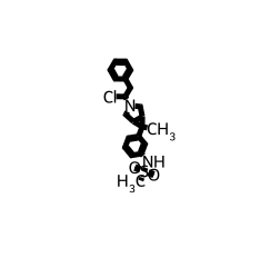 CC1(c2cccc(NS(C)(=O)=O)c2)C2CN(C(Cl)Cc3ccccc3)CC21